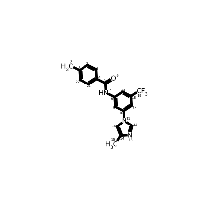 Cc1ccc(C(=O)Nc2cc(-n3cnc(C)c3)cc(C(F)(F)F)c2)cc1